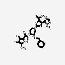 COC(=O)c1sc(N2CC[C@@H](NC(=O)c3[nH]c(C)c(Cl)c3Cl)[C@@H](OCc3ccccc3)C2)nc1-c1ncnn1C